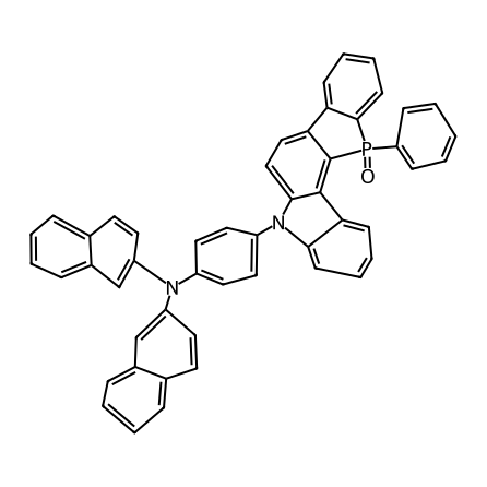 O=P1(c2ccccc2)c2ccccc2-c2ccc3c(c21)c1ccccc1n3-c1ccc(N(c2ccc3ccccc3c2)c2ccc3ccccc3c2)cc1